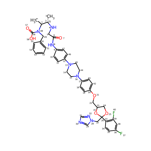 CC([C@H](C)NCC(=O)Nc1ccc(N2CCN(c3ccc(OCC4COC(Cn5cncn5)(c5ccc(F)cc5F)O4)cc3)CC2)cc1)N(Cc1ccccc1)C(=O)O